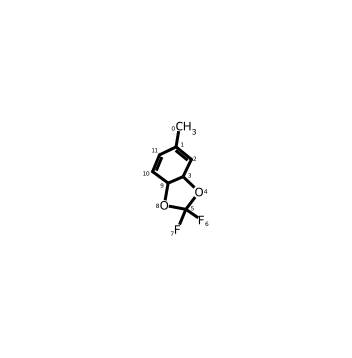 CC1=CC2OC(F)(F)OC2C=C1